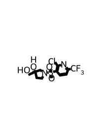 O=S(=O)(c1ccc(C(F)(F)F)nc1Cl)N1CC[C@](O)(CO)C1